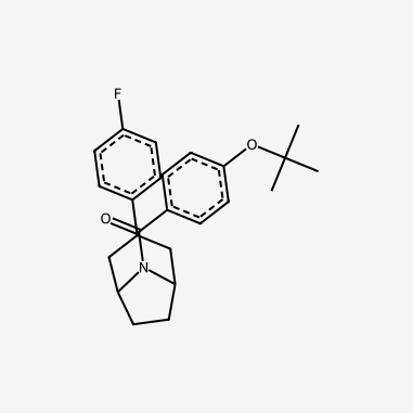 CC(C)(C)Oc1ccc(C(=O)N2C3CCC2CC(c2ccc(F)cc2)C3)cc1